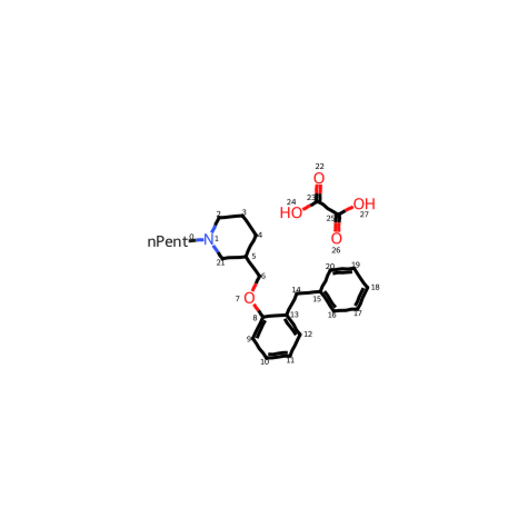 CCCCCN1CCCC(COc2ccccc2Cc2ccccc2)C1.O=C(O)C(=O)O